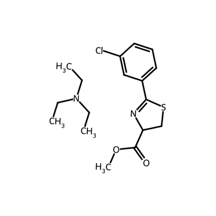 CCN(CC)CC.COC(=O)C1CSC(c2cccc(Cl)c2)=N1